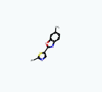 Cc1ccc2nc(-c3cnc(C(C)C)s3)oc2c1